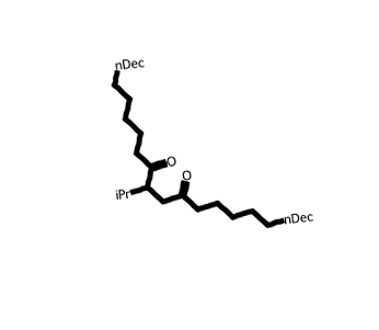 CCCCCCCCCCCCCCCC(=O)CC(C(=O)CCCCCCCCCCCCCCC)C(C)C